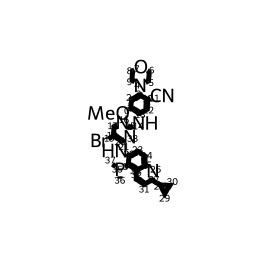 COc1cc(N2CCOCC2)c(C#N)cc1Nc1ncc(Br)c(Nc2ccc3nc(C4CC4)ccc3c2P(C)C)n1